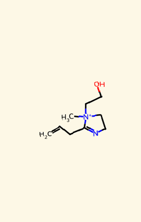 C=CCC1=NCC[N+]1(C)CCO